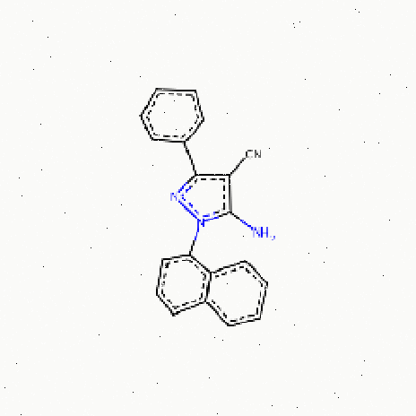 N#Cc1c(-c2ccccc2)nn(-c2cccc3ccccc23)c1N